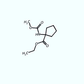 CCOC(=O)C1(NC(=O)OC)CCCC1